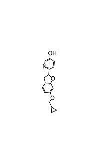 Oc1ccc(C2Cc3ccc(OCC4CC4)cc3O2)nc1